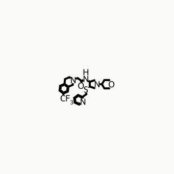 O=C(CN1CCc2ccc(C(F)(F)F)cc2C1)NC1CN(C2CCOCC2)C[C@@H]1SCc1ccccn1